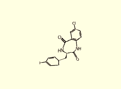 O=C1N[C@H](CC2C=CC(I)=CC2)C(=O)Nc2ccc(Cl)cc21